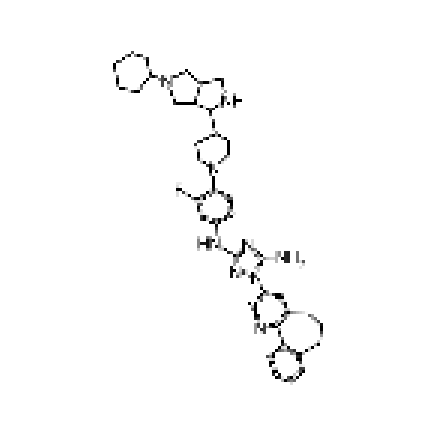 Nc1nc(Nc2ccc(N3CCC(C4NCC5CN(C6CCCCC6)CC54)CC3)c(F)c2)nn1-c1cc2c(nn1)-c1ccccc1CCC2